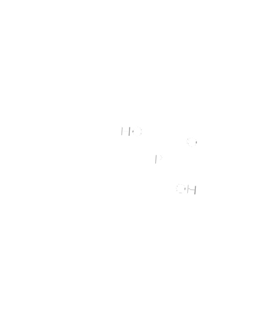 C=C.C=C.C=C.CP(=O)(O)O